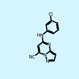 N#Cc1cc(Nc2cccc(Cl)c2)nc2ccnn12